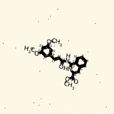 COC(=O)C1Cc2ccccc2C(NC(=O)C=Cc2cc(OC)cc(OC)c2)N1